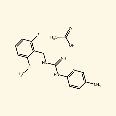 CC(=O)O.COc1cccc(F)c1CNC(=N)Nc1ccc(C)cn1